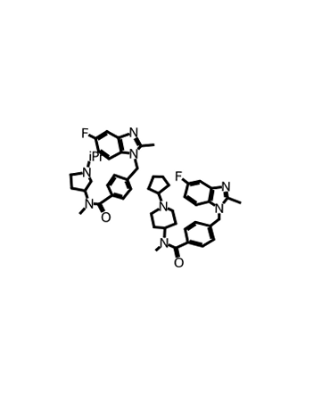 Cc1nc2cc(F)ccc2n1Cc1ccc(C(=O)N(C)C2CCN(C(C)C)C2)cc1.Cc1nc2cc(F)ccc2n1Cc1ccc(C(=O)N(C)C2CCN(C3CCCC3)CC2)cc1